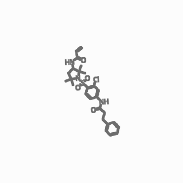 C=CC(=O)NC1CC(C)(C)N(S(=O)(=O)c2ccc(NC(=O)CCc3ccccc3)cc2Cl)C1(C)C